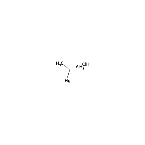 C[CH2][Hg].Cl.[AlH3]